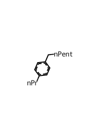 [CH2]CCc1ccc(CCCCCC)cc1